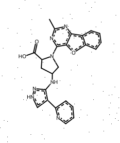 Cc1nc(N2CC(Nc3n[nH]cc3-c3ccccn3)CC2C(=O)O)c2oc3ccccc3c2n1